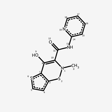 CN1Sc2ccsc2C(O)=C1C(=O)Nc1ccccn1